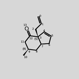 C=CC[C@@]12C=CCC1C[C@@H](C)CC2=O